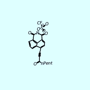 CCCCCC(=O)C#Cc1ccc2c3c(cccc13)C(=O)N(OS(=O)(=O)C(F)(F)F)C2=O